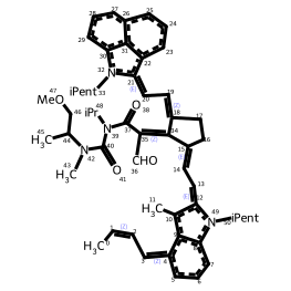 C/C=C\C=c1\cccc2c1c(C)\c(=C/C=C1\CCC(=C\C=c3/c4cccc5cccc(c54)n3C(C)CCC)\C1=C(\C=O)C(=O)N(C(=O)N(C)C(C)COC)C(C)C)n2C(C)CCC